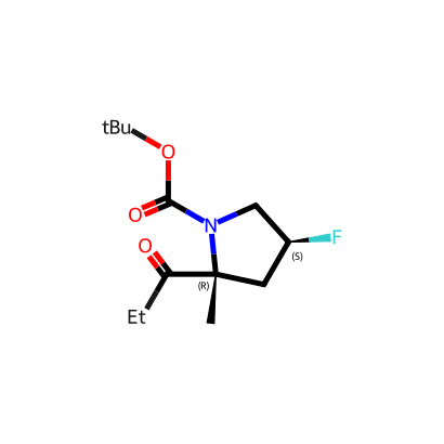 CCC(=O)[C@@]1(C)C[C@H](F)CN1C(=O)OC(C)(C)C